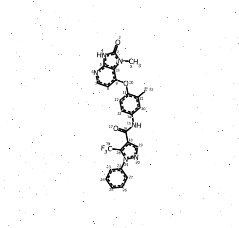 Cn1c(=O)[nH]c2nccc(Oc3ccc(NC(=O)c4cnn(-c5ccccc5)c4C(F)(F)F)cc3F)c21